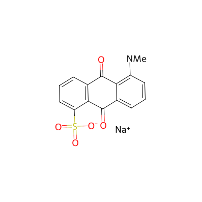 CNc1cccc2c1C(=O)c1cccc(S(=O)(=O)[O-])c1C2=O.[Na+]